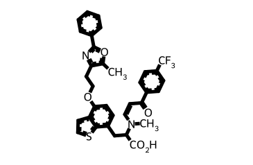 Cc1oc(-c2ccccc2)nc1CCOc1ccc(CC(C(=O)O)N(C)/C=C\C(=O)c2ccc(C(F)(F)F)cc2)c2sccc12